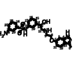 Cc1n[nH]c2cc(OCCNC[C@H](O)c3cccc(NS(=O)(=O)c4cccc(N)c4)c3)ccc12